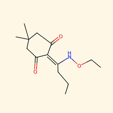 CCCC(NOCC)=C1C(=O)CC(C)(C)CC1=O